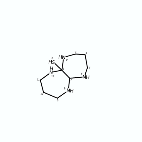 SC12NCCCNC1NCCCN2